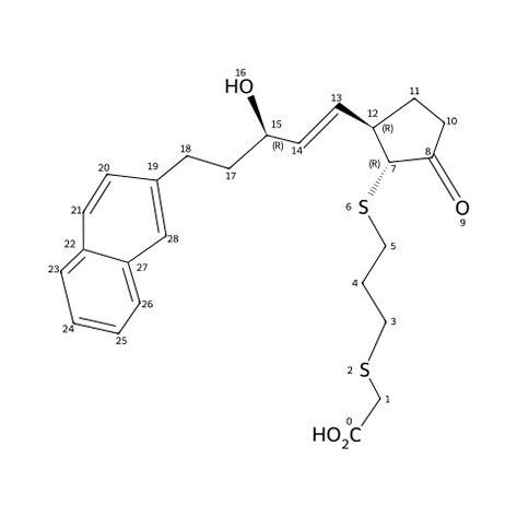 O=C(O)CSCCCS[C@H]1C(=O)CC[C@@H]1C=C[C@H](O)CCc1ccc2ccccc2c1